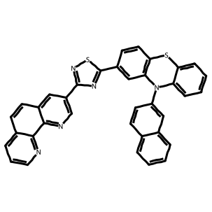 c1ccc2c(c1)Sc1ccc(-c3nc(-c4cnc5c(ccc6cccnc65)c4)ns3)cc1N2c1ccc2ccccc2c1